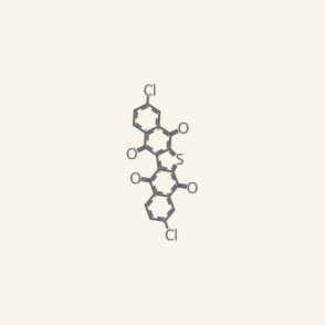 O=c1c2cc(Cl)ccc2c(=O)c2c1sc1c(=O)c3cc(Cl)ccc3c(=O)c12